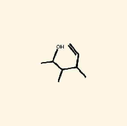 C=CC(C)C(C)C(C)O